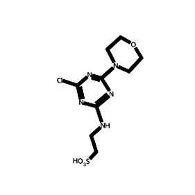 O=S(=O)(O)CCNc1nc(Cl)nc(N2CCOCC2)n1